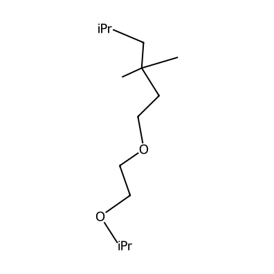 CC(C)CC(C)(C)CCOCCOC(C)C